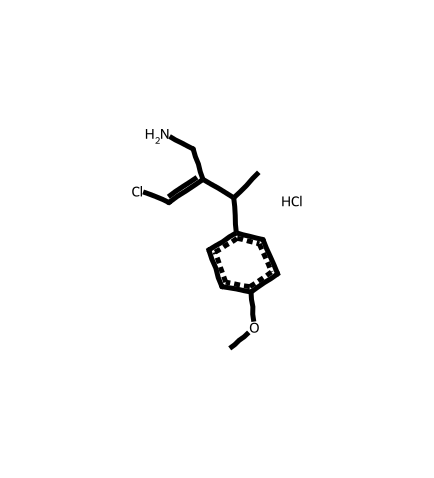 COc1ccc(C(C)C(=CCl)CN)cc1.Cl